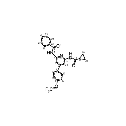 O=C(Nc1cc(-c2ccc(OC(F)(F)F)cc2)cc(NC(=O)C2CC2)n1)c1ccccc1